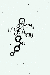 CC(OC(=O)C(C)(C)Oc1ccc(C(=O)c2ccc(Cl)cc2)cc1)N1CCCCC1.Cl